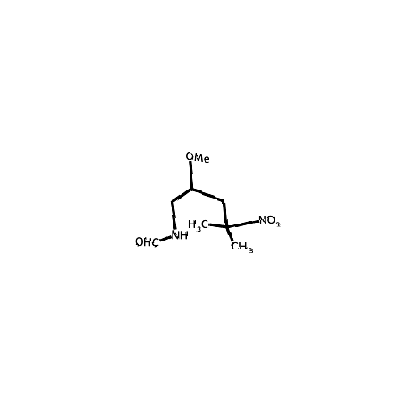 COC(CNC=O)CC(C)(C)[N+](=O)[O-]